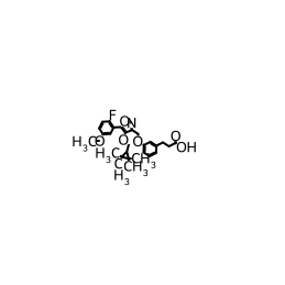 COc1ccc(F)c(-c2onc(COc3cccc(CCC(=O)O)c3)c2OCC2C(C)(C)C2(C)C)c1